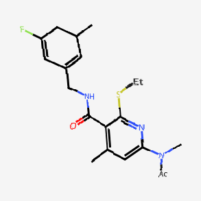 CCSc1nc(N(C)C(C)=O)cc(C)c1C(=O)NCC1=CC(C)CC(F)=C1